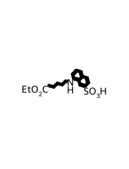 CCOC(=O)CCCCCNc1cccc2ccc(S(=O)(=O)O)cc12